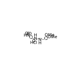 COc1ccc(CCNCCNC(=O)c2ccc(NS(C)(=O)=O)cc2)cc1OC.Cl